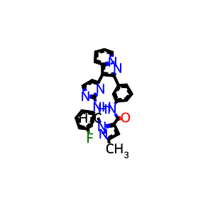 Cc1cc(C(=O)Nc2cccc(-c3nn4ccccc4c3-c3ccnc(Nc4cccc(F)c4)n3)c2)n(C)n1